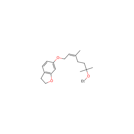 CCOC(C)(C)CCC(C)=CCOc1ccc2c(c1)OCC2